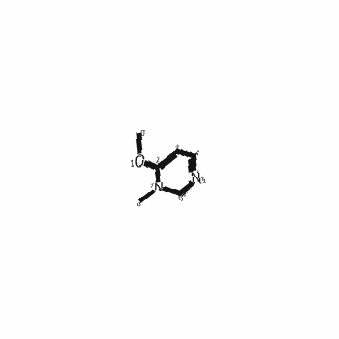 COC1=CC=N[C]N1C